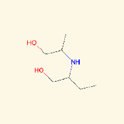 CCC(CO)NC(C)CO